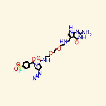 [N-]=[N+]=NC1C[C@@H](C(=O)NCCOCCOCCNCc2c[nH]c3nc(N)[nH]c(=O)c23)N(C(=O)c2ccc(S(=O)(=O)F)cc2)C1